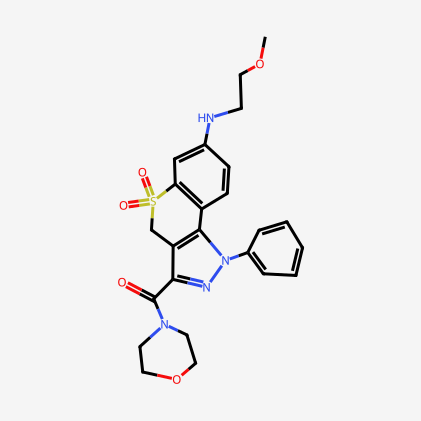 COCCNc1ccc2c(c1)S(=O)(=O)Cc1c(C(=O)N3CCOCC3)nn(-c3ccccc3)c1-2